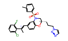 C/C(=C\c1ccc2c(c1)N(S(=O)(=O)c1cccc(C)c1)C[C@H](CCCn1ccnn1)O2)c1c(F)cccc1Cl